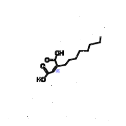 CCCCCCCC/C(=C/C(=O)O)C(=O)O